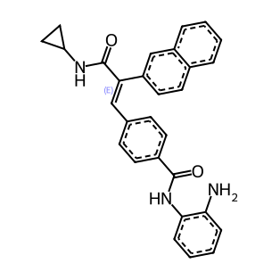 Nc1ccccc1NC(=O)c1ccc(/C=C(/C(=O)NC2CC2)c2ccc3ccccc3c2)cc1